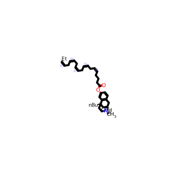 CC/C=C\C/C=C\C/C=C\C/C=C\C/C=C\CCCC(=O)Oc1ccc2c(c1)[C@@]1(CCCC)CCN(C)[C@@H](C2)C1C